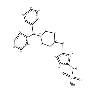 CCCCS(=O)(=O)Nc1nc(CN2CCN(C(c3ccccc3)c3ccccc3)CC2)cs1